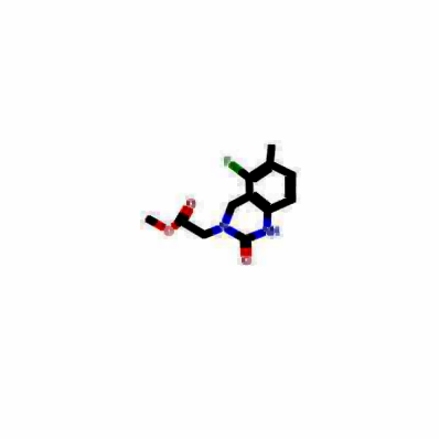 COC(=O)CN1Cc2c(ccc(C)c2F)NC1=O